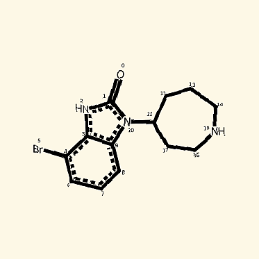 O=c1[nH]c2c(Br)cccc2n1C1CCCNCC1